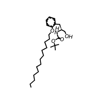 CCCCCCCCCCCCCCOc1ccccc1C[C@@H](CO)NC(=O)OC(C)(C)C